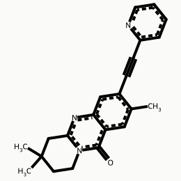 Cc1cc2c(=O)n3c(nc2cc1C#Cc1ccccn1)CC(C)(C)CC3